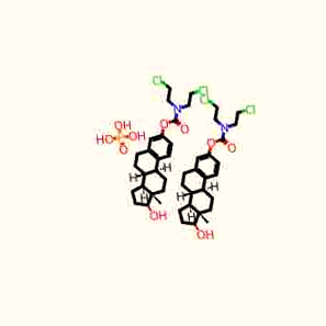 C[C@]12CC[C@@H]3c4ccc(OC(=O)N(CCCl)CCCl)cc4CC[C@H]3[C@@H]1CC[C@@H]2O.C[C@]12CC[C@@H]3c4ccc(OC(=O)N(CCCl)CCCl)cc4CC[C@H]3[C@@H]1CC[C@@H]2O.O=P(O)(O)O